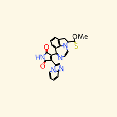 COC(=S)C1Cc2cccc3c2N1C=CN=C3C1=C(c2cnc3ccccn23)C(=O)NC1=O